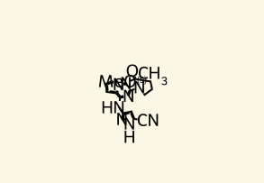 COC(=O)[C@]1(C)CCCN1c1nc(Nc2cc(C#N)[nH]n2)c2cccn2n1